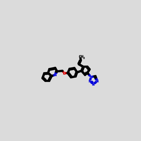 CC=Cc1ccc(-n2cnnn2)cc1-c1ccc(OCc2ccc3ccccc3n2)cc1